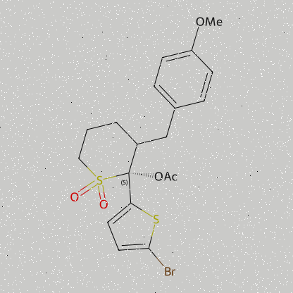 COc1ccc(CC2CCCS(=O)(=O)[C@]2(OC(C)=O)c2ccc(Br)s2)cc1